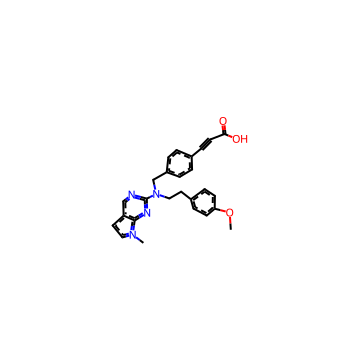 COc1ccc(CCN(Cc2ccc(C#CC(=O)O)cc2)c2ncc3ccn(C)c3n2)cc1